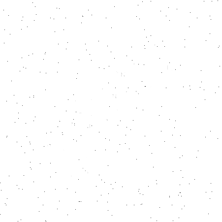 O=C(N1CCOc2ccncc2C1)C1(F)CCN(c2ncc(C(F)F)cn2)CC1